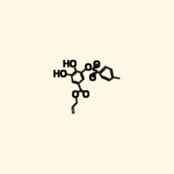 C=CCOC(=O)c1cc(O)c(O)c(OS(=O)(=O)c2ccc(C)cc2)c1